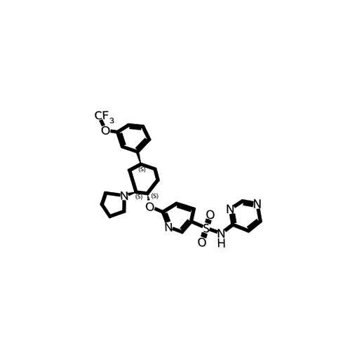 O=S(=O)(Nc1ccncn1)c1ccc(O[C@H]2CC[C@H](c3cccc(OC(F)(F)F)c3)C[C@@H]2N2CCCC2)nc1